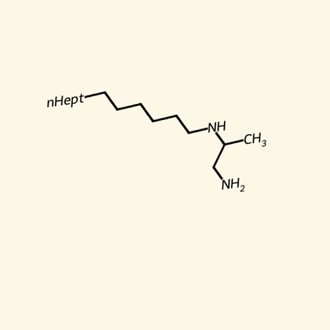 CCCCCCCCCCCCCNC(C)CN